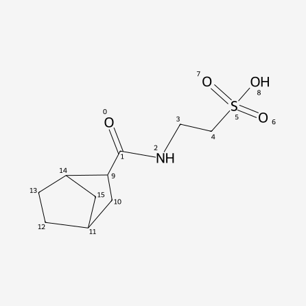 O=C(NCCS(=O)(=O)O)C1CC2CCC1C2